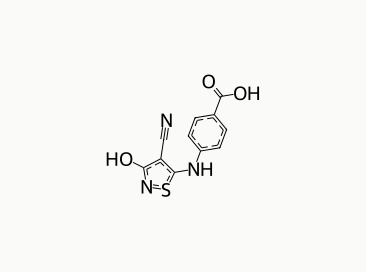 N#Cc1c(O)nsc1Nc1ccc(C(=O)O)cc1